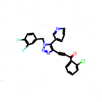 O=C(C#Cc1nnn(Cc2ccc(F)c(F)c2)c1-c1cccnc1)c1ccccc1Cl